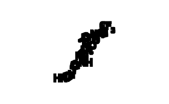 Cc1ccc(NC(=O)c2cccc(C(F)(F)F)c2)cc1N1Cc2cnc(Nc3cccc(CN4CCNCC4)c3)nc2N(C)C1=O